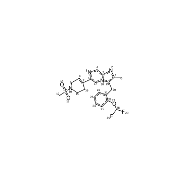 Cc1nc2cnc(C3=CCN(S(C)(=O)=O)CC3)cn2c1Cc1ccccc1OC(F)F